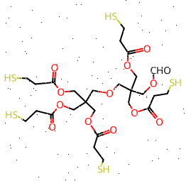 O=COCC(COCC(COC(=O)CCS)(COC(=O)CCS)COC(=O)CCS)(COC(=O)CCS)COC(=O)CCS